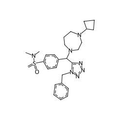 C=S(=O)(c1ccc(C(c2nnnn2Cc2ccccc2)N2CCCN(C3CCC3)CC2)cc1)N(C)C